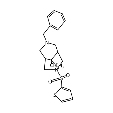 CC1(C)C2CN(Cc3ccccc3)CC1CN(S(=O)(=O)c1cccs1)C2